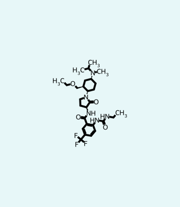 CCNC(=O)Nc1ccc(C(F)(F)F)cc1C(=O)N[C@H]1CCN([C@H]2CC[C@@H](N(C)C(C)C)C[C@@H]2COCC)C1=O